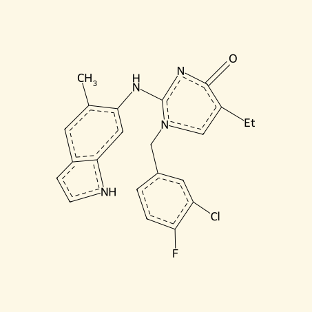 CCc1cn(Cc2ccc(F)c(Cl)c2)c(Nc2cc3[nH]ccc3cc2C)nc1=O